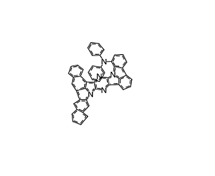 c1ccc(N(c2ccccc2)c2cccc3c4cccc5c6nc7c(nc6n(c23)c45)c2c3ccccc3cc3c4cc5ccccc5cc4n7c32)cc1